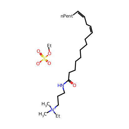 CCCCC/C=C\C/C=C\CCCCCCCC(=O)NCCC[N+](C)(C)CC.CCOS(=O)(=O)[O-]